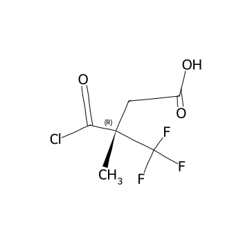 C[C@](CC(=O)O)(C(=O)Cl)C(F)(F)F